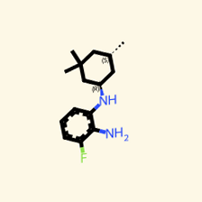 C[C@@H]1C[C@@H](Nc2cccc(F)c2N)CC(C)(C)C1